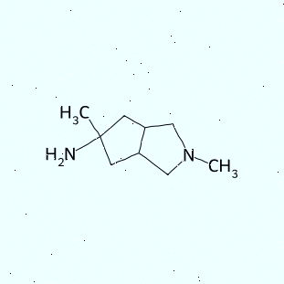 CN1CC2CC(C)(N)CC2C1